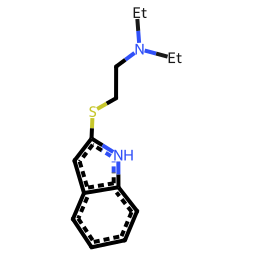 CCN(CC)CCSc1cc2ccccc2[nH]1